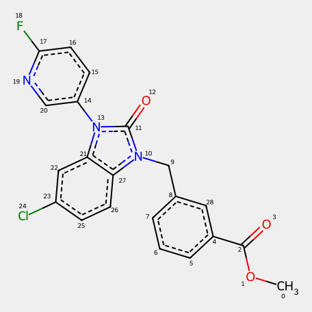 COC(=O)c1cccc(Cn2c(=O)n(-c3ccc(F)nc3)c3cc(Cl)ccc32)c1